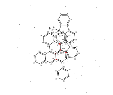 CC1(C)c2ccccc2-c2cccc(N(c3ccc(-c4ccccc4)cc3)c3ccccc3-c3c(-n4c5ccccc5c5ccccc54)ccc4ccccc34)c21